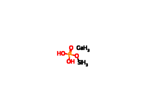 O=P(O)(O)O[SiH3].[GaH3]